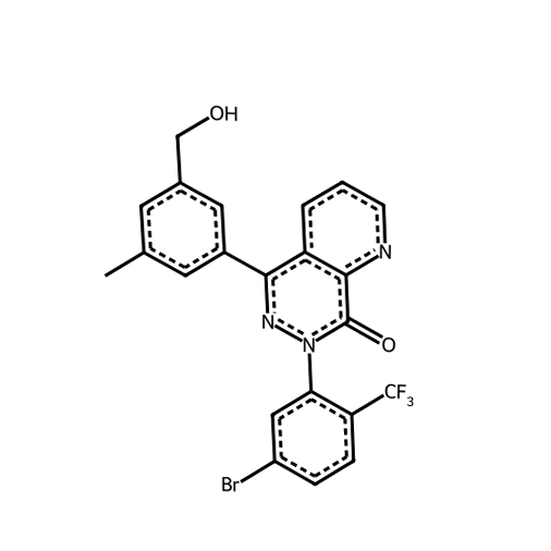 Cc1cc(CO)cc(-c2nn(-c3cc(Br)ccc3C(F)(F)F)c(=O)c3ncccc23)c1